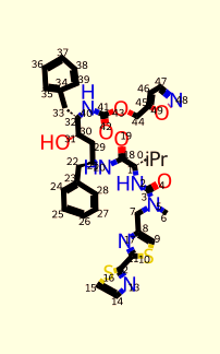 CC(C)[C@H](NC(=O)N(C)Cc1csc(-c2nccs2)n1)C(=O)N[C@@H](Cc1ccccc1)C[C@H](O)[C@H](Cc1ccccc1)NC(=O)OCc1ccno1